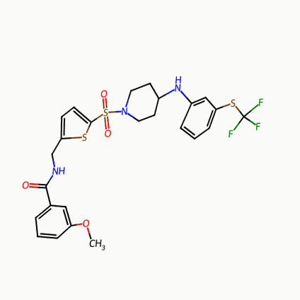 COc1cccc(C(=O)NCc2ccc(S(=O)(=O)N3CCC(Nc4cccc(SC(F)(F)F)c4)CC3)s2)c1